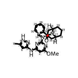 COc1cc(Nc2cc(C)[nH]n2)nc(N(C)[C@@H]2C[C@H]3CCC[C@@H](C2)N3C(=O)c2ccccn2)n1